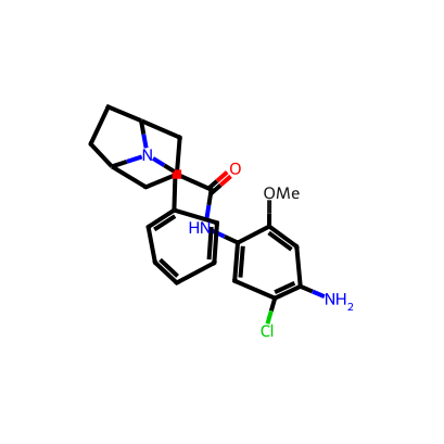 COc1cc(N)c(Cl)cc1NC(=O)C1CC2CCC(C1)N2Cc1ccccc1